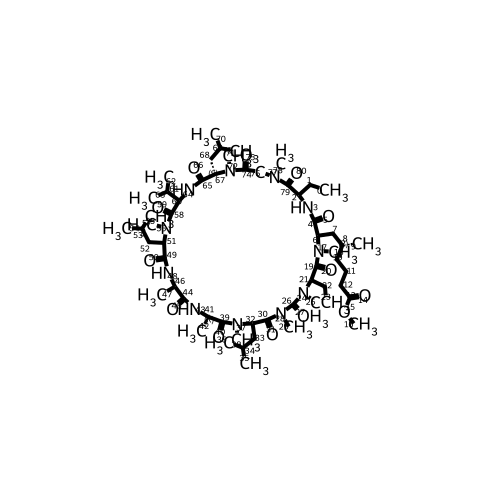 CCC1NC(=O)C(C[C@H](C)CCCC(=O)OC)N(C)C(=O)C(CC)N(C)C(=O)N(C)C(=O)C(CC(C)C)N(C)C(=O)[C@@H](C)NC(=O)C(C)NC(=O)C(CC(C)C)N(C)C(=O)C(C(C)C)NC(=O)[C@H](CC(C)C)N(C)C(=O)CN(C)C1=O